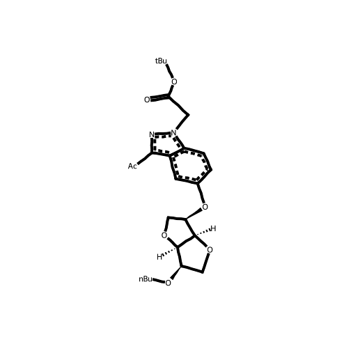 CCCCO[C@@H]1CO[C@H]2[C@@H]1OC[C@H]2Oc1ccc2c(c1)c(C(C)=O)nn2CC(=O)OC(C)(C)C